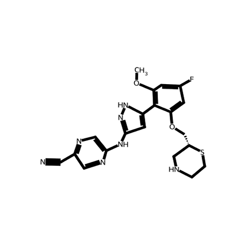 COc1cc(F)cc(OC[C@H]2CNCCS2)c1-c1cc(Nc2cnc(C#N)cn2)n[nH]1